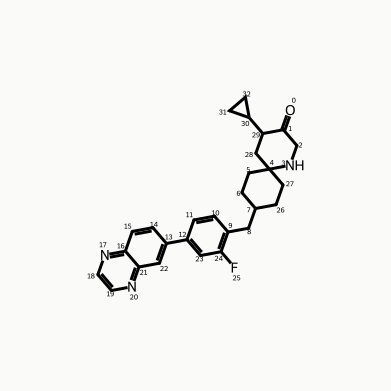 O=C1CNC2(CCC(Cc3ccc(-c4ccc5nccnc5c4)cc3F)CC2)CC1C1CC1